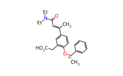 CCN(CC)C(=O)C=C(C)c1ccc(O[C@@H](C)c2ccccc2)c(CC(=O)O)c1